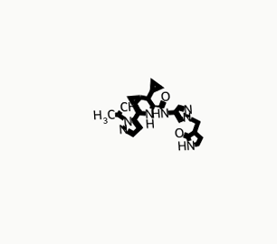 CC(C)n1nccc1C1=C2CC2C(C2CC2)[C@@H](C(=O)Nc2cnn(CC3CCNC3=O)c2)N1